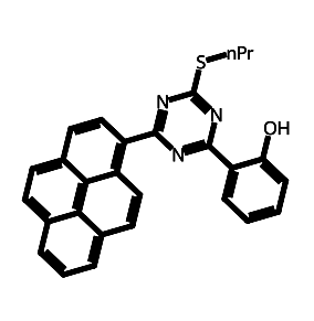 CCCSc1nc(-c2ccccc2O)nc(-c2ccc3ccc4cccc5ccc2c3c45)n1